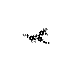 C#CCOc1ccc2c(c1)c(-c1ccc(C(C)C)cc1)nc(=O)n2Cc1ccc(OCC)cc1O